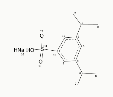 CC(C)c1cc(C(C)C)cc(S(=O)(=O)O)c1.[NaH]